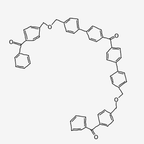 O=C(c1ccccc1)c1ccc(COCc2ccc(-c3ccc(C(=O)c4ccc(-c5ccc(COCc6ccc(C(=O)c7ccccc7)cc6)cc5)cc4)cc3)cc2)cc1